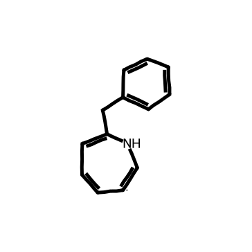 [C]1=CNC(Cc2ccccc2)=CC=C1